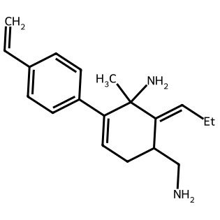 C=Cc1ccc(C2=CCC(CN)/C(=C\CC)C2(C)N)cc1